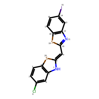 Clc1ccc2c(c1)N/C(=C/c1nc3cc(I)ccc3s1)S2